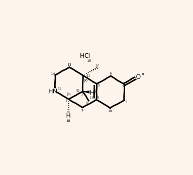 C[C@@H]1[C@H]2CC3=C(CC(=O)CC3)[C@]1(C)CCN2.Cl